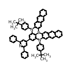 CC(C)(C)c1ccc(N2c3cc4cc5ccccc5cc4cc3B3c4cc5cc6ccccc6cc5cc4N(c4ccc(C(C)(C)C)cc4)c4cc(-c5cc(-c6ccccc6)nc(-c6ccccc6)c5)cc2c43)cc1